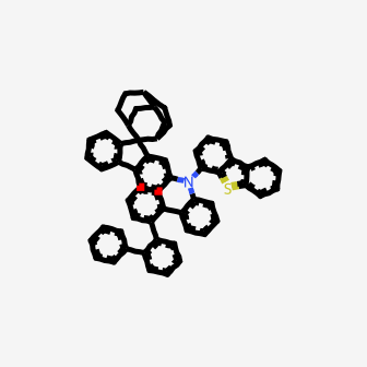 c1ccc(-c2ccccc2-c2ccccc2-c2ccccc2N(c2ccc3c(c2)C2(c4ccccc4-3)C3CCC4CCC2CC4C3)c2cccc3c2sc2ccccc23)cc1